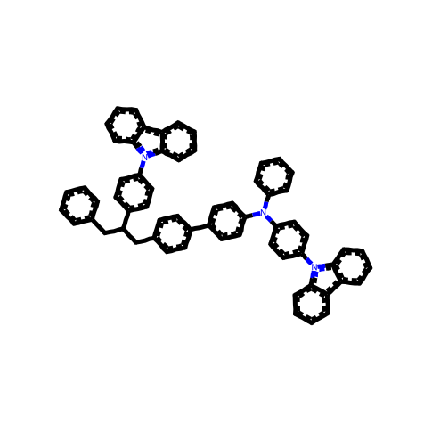 c1ccc(CC(Cc2ccc(-c3ccc(N(c4ccccc4)c4ccc(-n5c6ccccc6c6ccccc65)cc4)cc3)cc2)c2ccc(-n3c4ccccc4c4ccccc43)cc2)cc1